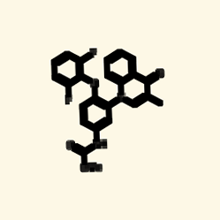 COC(=O)Nc1ccc(Oc2c(F)cccc2F)c(-n2cc(C)c(=O)c3ccccc32)c1